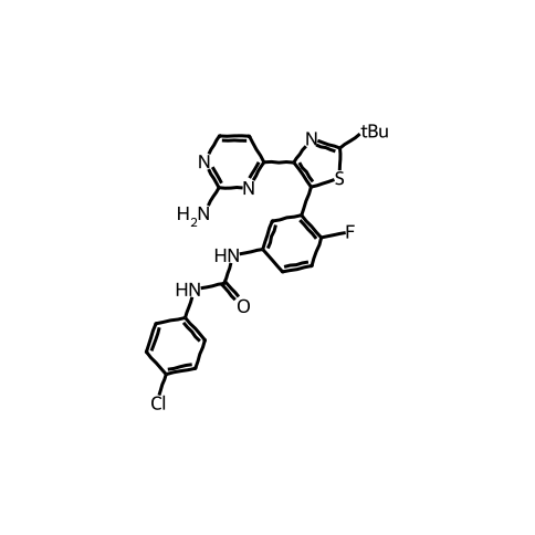 CC(C)(C)c1nc(-c2ccnc(N)n2)c(-c2cc(NC(=O)Nc3ccc(Cl)cc3)ccc2F)s1